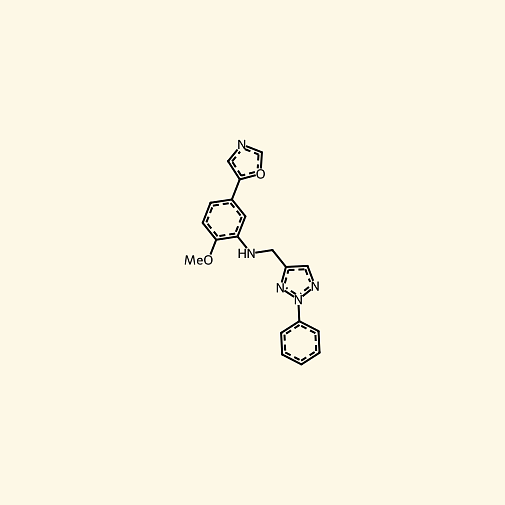 COc1ccc(-c2cnco2)cc1NCc1cnn(-c2ccccc2)n1